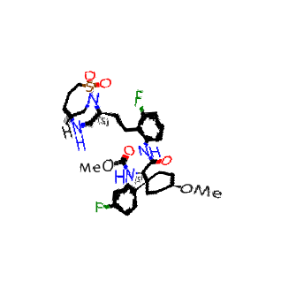 COC(=O)N[C@H](C(=O)Nc1cccc(F)c1CC[C@H]1CN[C@@H]2CCCS(=O)(=O)N1C2)[C@]1(c2ccc(F)cc2)CC[C@@H](OC)CC1